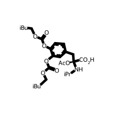 CCC(C)COC(=O)Oc1ccc(C[C@](NC(C)C)(OC(C)=O)C(=O)O)cc1OC(=O)OCC(C)CC